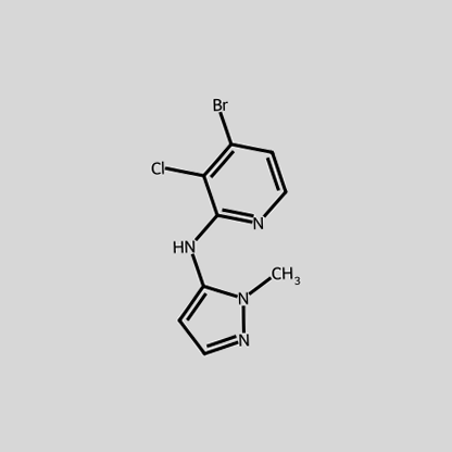 Cn1nccc1Nc1nccc(Br)c1Cl